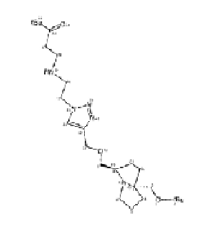 CC(C)(C)OC[C@]12CCCN1[C@@H](COCc1cn(CCNCCC(=O)C(C)(C)C)nn1)CC2